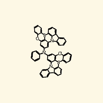 c1ccc(N(c2cc3c4c(c2)-n2c5ccccc5c5cccc(c52)B4c2ccccc2O3)c2cc3c4c(c2)-n2c5ccccc5c5cccc(c52)B4c2ccccc2O3)cc1